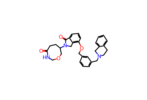 O=C1CCC(N2Cc3c(OCc4cccc(CN5CCc6ccccc6C5)c4)cccc3C2=O)COCN1